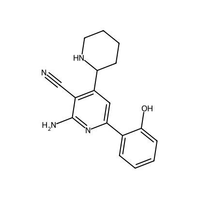 N#Cc1c(C2CCCCN2)cc(-c2ccccc2O)nc1N